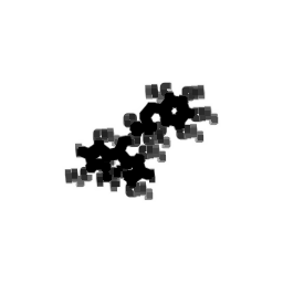 CC1=C(I)C(C)=[N+]2C1=C(COC(=O)C1(C)CCc3c(C)c(O)c(C)c(C)c3O1)c1c(C)c(I)c(C)n1[B-]2(F)F